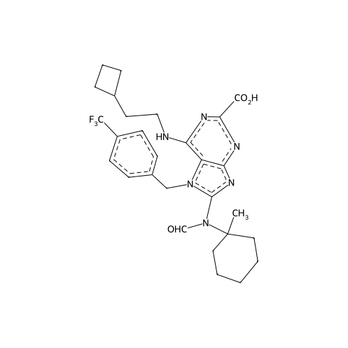 CC1(N(C=O)c2nc3nc(C(=O)O)nc(NCCC4CCC4)c3n2Cc2ccc(C(F)(F)F)cc2)CCCCC1